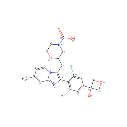 Cc1ccn2c(CC3CN(C(=O)O)CCO3)c(-c3c(F)cc(C4(O)COC4)cc3F)nc2c1